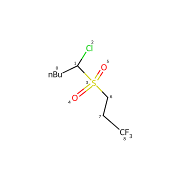 CCCCC(Cl)S(=O)(=O)CCC(F)(F)F